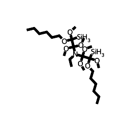 CCCCCCOC([SiH3])(OC)C(OC)(OC)N(CC)C(OC)(OC)C([SiH3])(OC)OCCCCCC